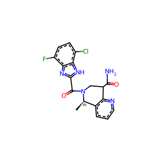 C[C@@H]1c2cccnc2C(C(N)=O)CN1C(=O)c1nc2c(F)ccc(Cl)c2[nH]1